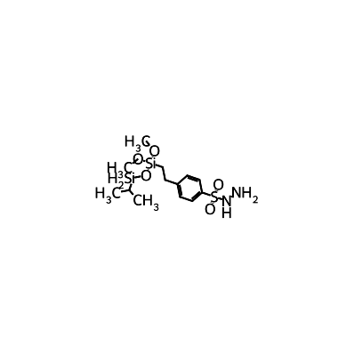 CO[Si](CCc1ccc(S(=O)(=O)NN)cc1)(OC)O[SiH2]C(C)C